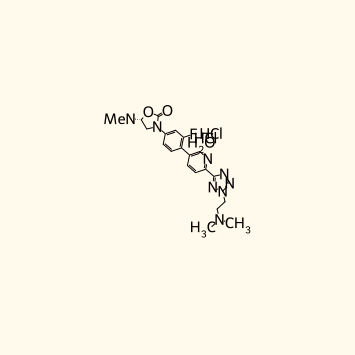 CN[C@H]1CN(c2ccc(-c3ccc(-c4nnn(CCN(C)C)n4)nc3)c(F)c2)C(=O)O1.Cl.Cl.O